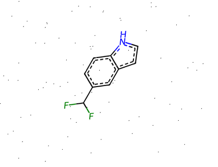 FC(F)c1ccc2[nH]ccc2c1